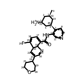 C[C@@H]1C[C@H](N)C[C@H](c2ccncc2NC(=O)C2=CC=C(F)C3C=C(C4CCOCC4)C=NC23)C1